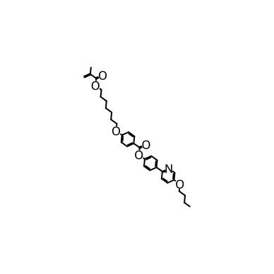 C=C(C)C(=O)OCCCCCCCOc1ccc(C(=O)Oc2ccc(-c3ccc(OCCCC)cn3)cc2)cc1